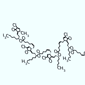 C/C=C\CCCC(=O)O[C@H](C/C=C1/C(=O)C(Cl)=C[C@@H]1C/C=C\CCCC(=O)O[C@H](C/C=C1/C(=O)C(Cl)=C[C@@H]1C/C=C\CCCC(=O)O[C@H](C/C=C1/C(=O)C(Cl)=C[C@@H]1C/C=C\CCCC(=O)O[C@H](C/C=C1/C(=O)C(Cl)=C[C@@H]1C)CCCCC)CCCCC)CCCCC)CCCCC